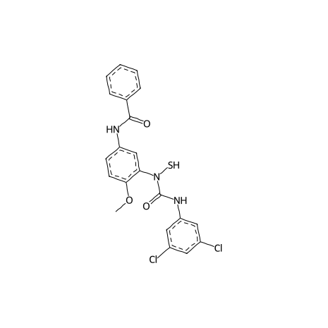 COc1ccc(NC(=O)c2ccccc2)cc1N(S)C(=O)Nc1cc(Cl)cc(Cl)c1